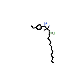 C=Cc1ccc(C(N)C(C)(C)CCCCCCCCCCCCC)cc1.Cl